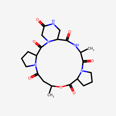 CC1CC(=O)N2CCCC2C(=O)N2CC(=O)NCC2C(=O)NC(C)C(=O)N2CCCC2C(=O)O1